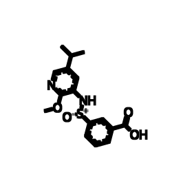 COc1ncc(C(C)C)cc1N[S+]([O-])c1cccc(C(=O)O)c1